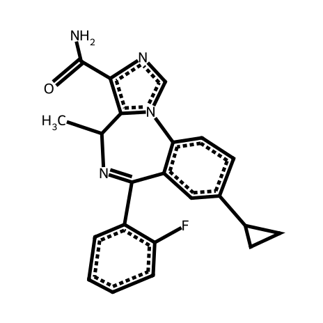 CC1N=C(c2ccccc2F)c2cc(C3CC3)ccc2-n2cnc(C(N)=O)c21